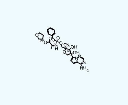 C[C@H](NP(=O)(OC[C@@]1(C#N)OC[C@@](O)(c2ccc3c(N)ncnn23)[C@@H]1O)Oc1ccccc1)C(=O)O[C@@H]1CCOC1